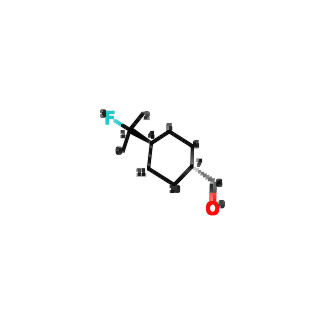 CC(C)(F)[C@H]1CC[C@H](C=O)CC1